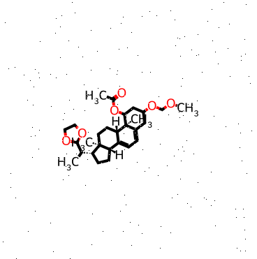 COCOC1CC2=CC=C3[C@@H]4CC[C@H](C(C)C5OCCO5)[C@@]4(C)CC[C@@H]3[C@@]2(C)C(OC(C)=O)C1